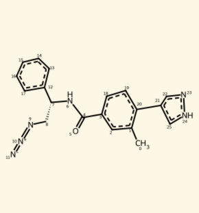 Cc1cc(C(=O)N[C@H](CN=[N+]=[N-])c2ccccc2)ccc1-c1cn[nH]c1